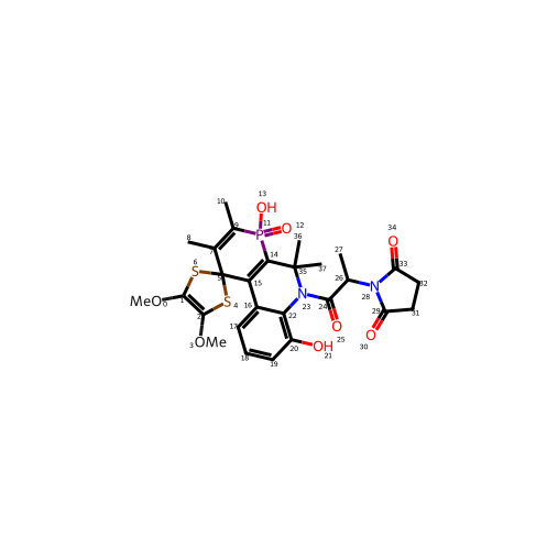 COC1=C(OC)SC2(S1)C(C)=C(C)P(=O)(O)C1=C2c2cccc(O)c2N(C(=O)C(C)N2C(=O)CCC2=O)C1(C)C